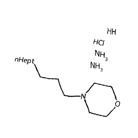 CCCCCCCCCCN1CCOCC1.Cl.N.N.[HH]